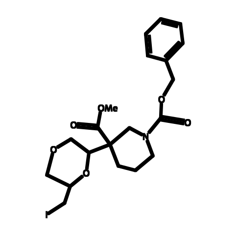 COC(=O)C1(C2COCC(CI)O2)CCCN(C(=O)OCc2ccccc2)C1